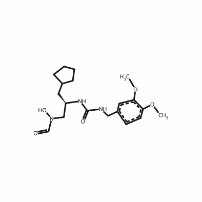 COc1ccc(CNC(=O)N[C@H](CC2CCCC2)CN(O)C=O)cc1OC